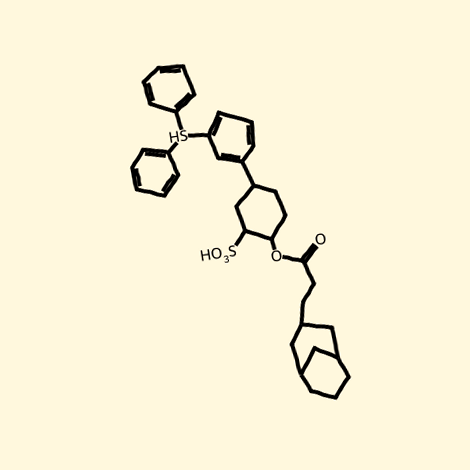 O=C(CCC1CC2CCCC(C2)C1)OC1CCC(c2cccc([SH](c3ccccc3)c3ccccc3)c2)CC1S(=O)(=O)O